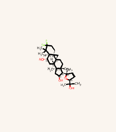 CC(C)(O)[C@@H]1CC[C@@](C)([C@H]2[C@@H](O)C[C@@]3(C)[C@@H]4C[C@H](O)[C@H]5C(C)(C)C(F)(F)CC[C@@]56C[C@@]46CC[C@]23C)O1